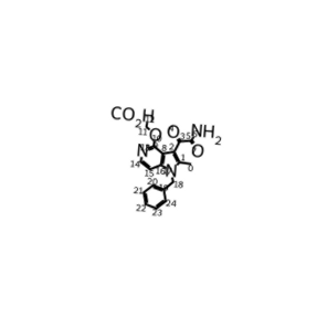 Cc1c(C(=O)C(N)=O)c2c(OCC(=O)O)nccc2n1Cc1ccccc1